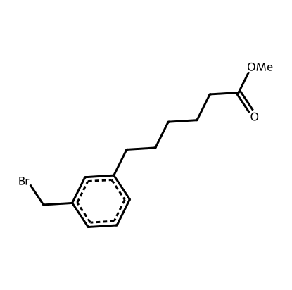 COC(=O)CCCCCc1cccc(CBr)c1